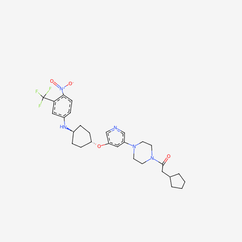 O=C(CC1CCCC1)N1CCN(c2cncc(O[C@H]3CC[C@H](Nc4ccc([N+](=O)[O-])c(C(F)(F)F)c4)CC3)c2)CC1